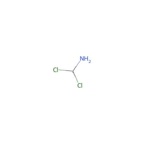 N[C](Cl)Cl